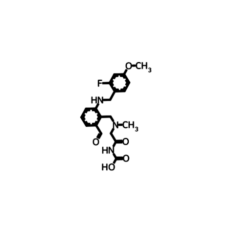 COc1ccc(CNc2cccc(C=O)c2CN(C)CC(=O)NC(=O)O)c(F)c1